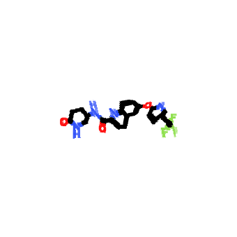 O=C1CCC(NC(=O)c2ccc3cc(Oc4ccc(C(F)(F)F)cn4)ccc3n2)CN1